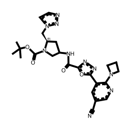 CC(C)(C)OC(=O)N1CC(NC(=O)c2nnc(-c3cc(C#N)cnc3N3CCC3)o2)C[C@@H]1Cn1ccnn1